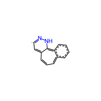 [C]1=NNC2=c3ccccc3=CC=CC2=C1